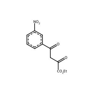 CCOC(=O)C(=O)CC(=O)c1cccc([N+](=O)[O-])c1